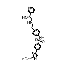 CCCCCCCCc1ncc(-c2ccc(S(=O)(=O)Nc3ccc(CCNCC(O)c4cccnc4)cc3)cc2)s1